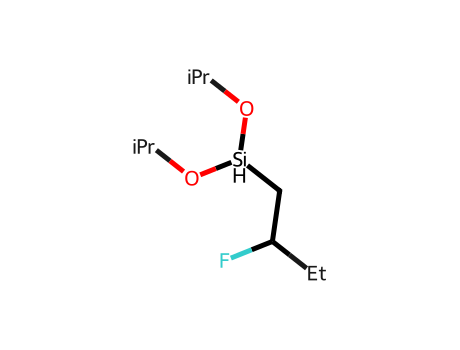 CCC(F)C[SiH](OC(C)C)OC(C)C